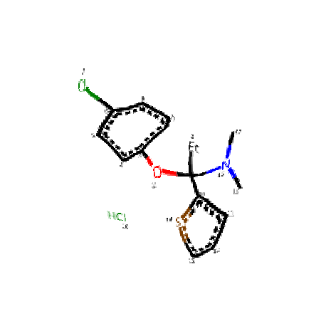 CCC(Oc1ccc(Cl)cc1)(c1cccs1)N(C)C.Cl